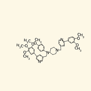 COc1ccc(N(Cc2cncc(-c3cc(OC)c(OC)c(OC)c3)c2)C2CCN(Cc3ccnc(-c4ccc(OC)c(OC)c4)c3)CC2)cc1